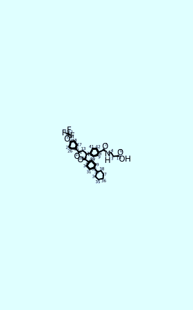 O=C(O)CCNC(=O)c1ccc(C(CC(=O)c2ccc(OC(F)(F)F)cc2)C(=O)c2ccc(C3CCCCC3)cc2)cc1